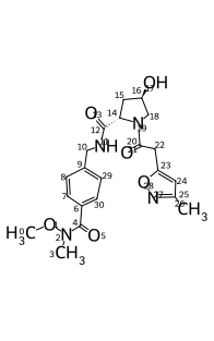 CON(C)C(=O)c1ccc(CNC(=O)[C@@H]2C[C@@H](O)CN2C(=O)Cc2cc(C)no2)cc1